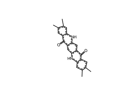 Cc1cc2[nH]c3cc4c(=O)c5cc(C)c(C)cc5[nH]c4cc3c(=O)c2cc1C